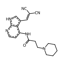 N#CC(C#N)=Cc1c[nH]c2nccc(NC(=O)CCN3CCCCC3)c12